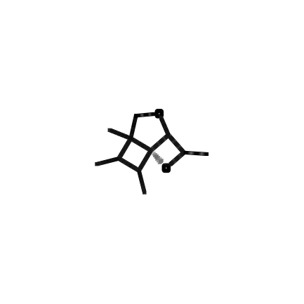 CC1O[C@]23C(C)C(C)C2(C)COC13